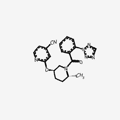 C[C@@H]1CC[C@@H](Oc2cc(C#N)ccn2)CN1C(=O)c1ccccc1-n1ncnn1